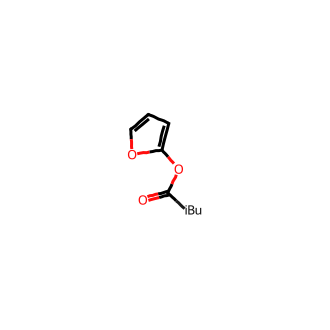 CCC(C)C(=O)Oc1ccco1